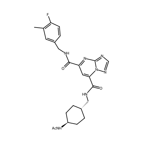 CC(=O)N[C@H]1CC[C@H](CNC(=O)c2cc(C(=O)NCc3ccc(F)c(C)c3)nc3ncnn23)CC1